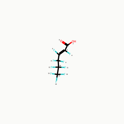 O=C(O)C(F)=C(F)C(F)(F)C(F)(F)C(F)(F)F